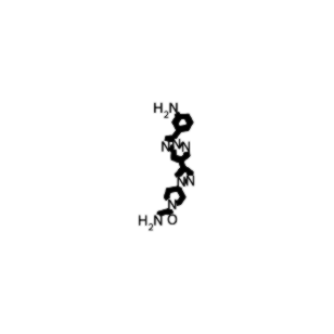 NCC(=O)N1CCC(n2cc(-c3cnn4c(-c5cccc(N)c5)cnc4c3)cn2)CC1